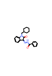 O=C(NN=C1C(=O)N(CC2CCCCC2)c2ccccc21)c1ccccc1